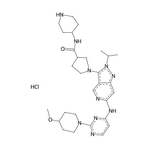 COC1CCN(c2nccc(Nc3cc4nn(C(C)C)c(N5CCC(C(=O)NC6CCNCC6)C5)c4cn3)n2)CC1.Cl